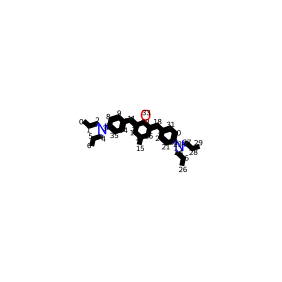 CCCN(CCC)c1ccc(C=C2CC(C)CC(=Cc3ccc(N(CCC)CCC)cc3)C2=O)cc1